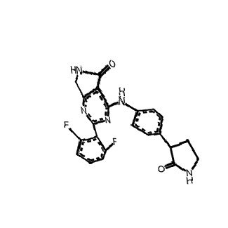 O=C1NCc2nc(-c3c(F)cccc3F)nc(Nc3ccc(C4CCNC4=O)cc3)c21